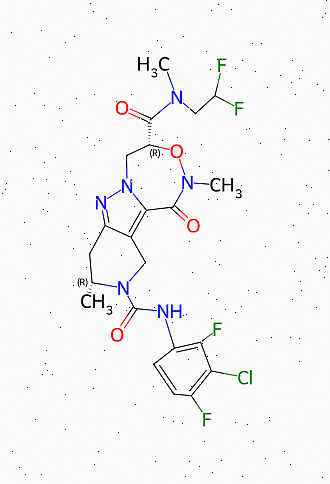 C[C@@H]1Cc2nn3c(c2CN1C(=O)Nc1ccc(F)c(Cl)c1F)C(=O)N(C)O[C@@H](C(=O)N(C)CC(F)F)C3